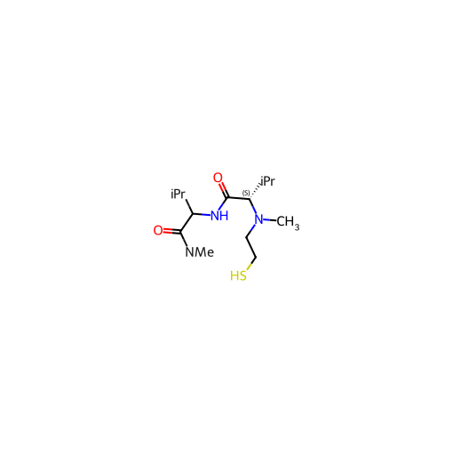 CNC(=O)C(NC(=O)[C@H](C(C)C)N(C)CCS)C(C)C